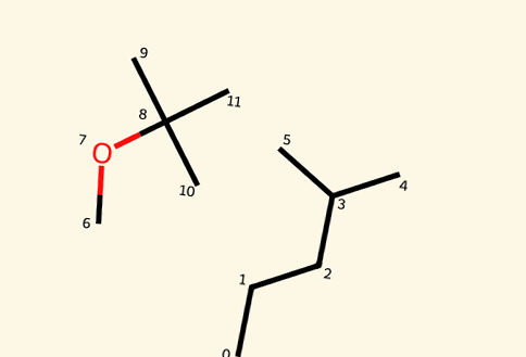 CCCC(C)C.COC(C)(C)C